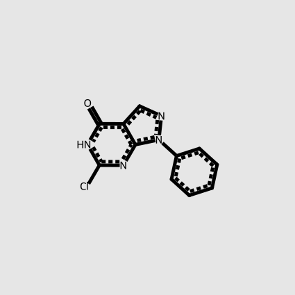 O=c1[nH]c(Cl)nc2c1cnn2-c1ccccc1